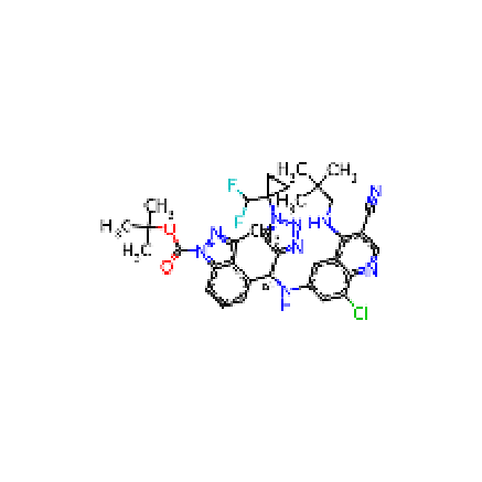 Cc1nn(C(=O)OC(C)(C)C)c2cccc([C@H](Nc3cc(Cl)c4ncc(C#N)c(NCC(C)(C)C)c4c3)c3cn(C4(C(F)F)CC4)nn3)c12